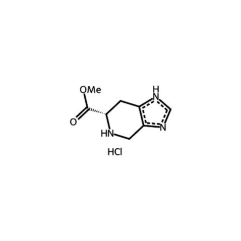 COC(=O)[C@@H]1Cc2[nH]cnc2CN1.Cl